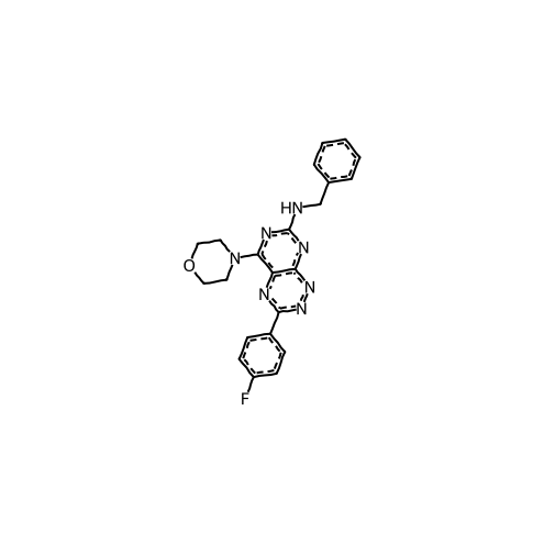 Fc1ccc(-c2nnc3nc(NCc4ccccc4)nc(N4CCOCC4)c3n2)cc1